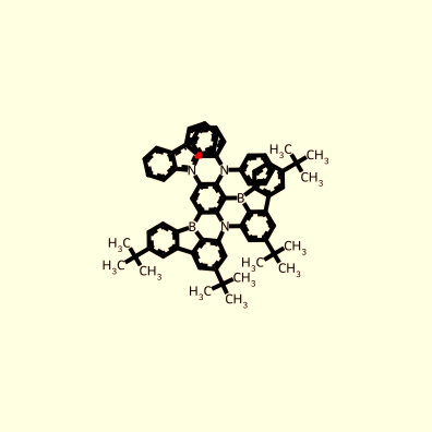 CC(C)(C)c1ccc2c(c1)-c1cc(C(C)(C)C)cc3c1B2c1cc(-n2c4ccccc4c4ccccc42)c(N(c2ccccc2)c2ccccc2)c2c1N3c1cc(C(C)(C)C)cc3c1B2c1ccc(C(C)(C)C)cc1-3